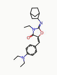 CCN1C(=O)/C(=C\c2ccc(N(CC)CC)cc2)O/C1=N/C1CC2CCC1C2